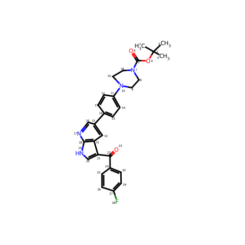 CC(C)(C)OC(=O)N1CCN(c2ccc(-c3cnc4[nH]cc(C(=O)c5ccc(F)cc5)c4c3)cc2)CC1